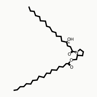 CCCCCCCCCCCCCCCCCC(=O)OCC1CCCN1C(=O)CC[C@H](O)CCCCCCCCCCCCCC